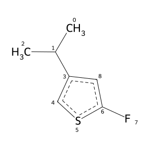 CC(C)c1csc(F)c1